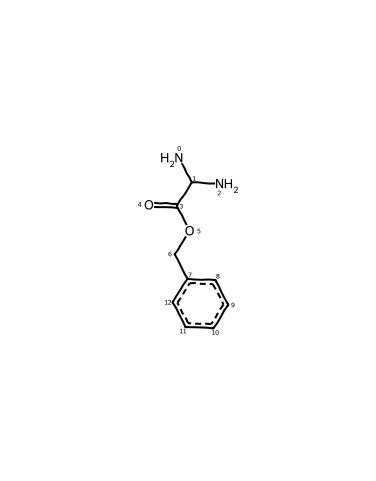 NC(N)C(=O)OCc1ccccc1